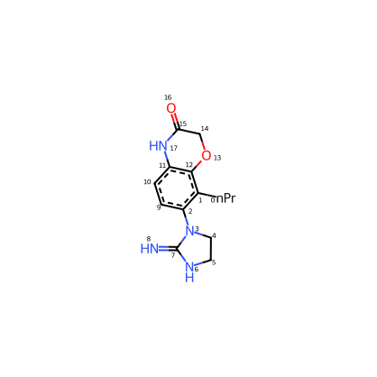 CCCc1c(N2CCNC2=N)ccc2c1OCC(=O)N2